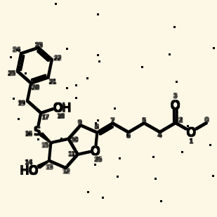 COC(=O)CCCC=C1CC2C(C[C@@H](O)[C@H]2SC(O)Cc2ccccc2)O1